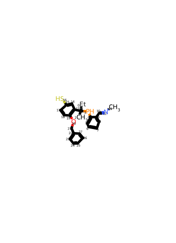 CCC(C)(Pc1ccccc1/C=N/C)c1cc(S)ccc1OCc1ccccc1